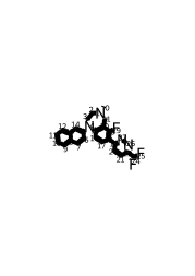 CN1CCN(c2ccc3ccccc3c2)c2ccc(-c3ccc(C(F)F)nn3)c(F)c2C1